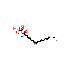 CCCCCCCC/C=C\CCCCCCC(=O)NC(CS)C(=O)O